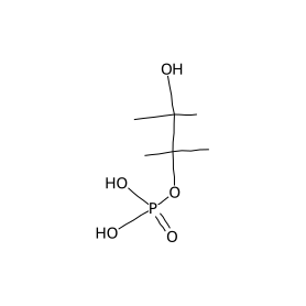 CC(C)(O)C(C)(C)OP(=O)(O)O